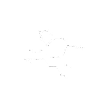 CC(Nc1ccco1)C(=O)O.NCCCC(=O)O.NCCCC(=O)O